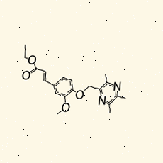 CCOC(=O)C=Cc1ccc(OCc2nc(C)c(C)nc2C)c(OC)c1